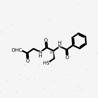 O=CC(=O)CNC(=O)[C@H](CS)NC(=O)c1ccccc1